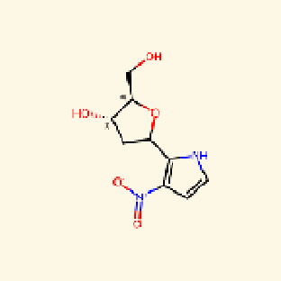 O=[N+]([O-])c1cc[nH]c1C1C[C@H](O)[C@@H](CO)O1